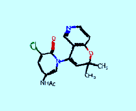 CC(=O)Nc1cc(Cl)c(=O)n(C2=CC(C)(C)Oc3ccncc32)c1